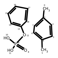 Cc1ccc(C)cc1.O=P(O)(O)Oc1ccccc1